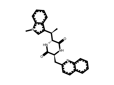 C[C@H](c1cn(C)c2ccccc12)[C@H]1NC(=O)[C@H](Cc2ccc3ccccc3n2)NC1=O